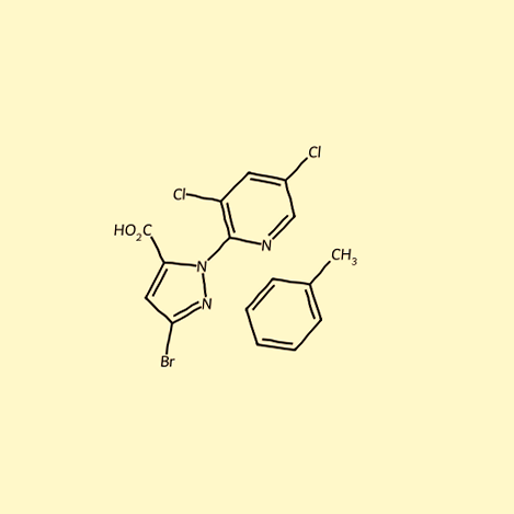 Cc1ccccc1.O=C(O)c1cc(Br)nn1-c1ncc(Cl)cc1Cl